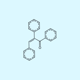 O=C(C(=Cc1ccccc1)c1ccccc1)c1ccccc1